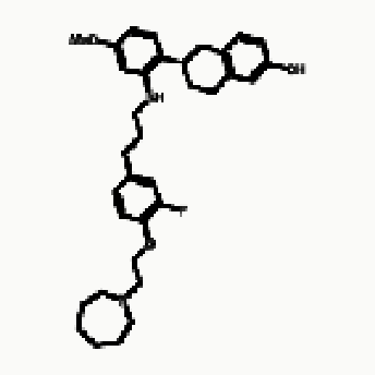 COc1ccc([C@@H]2CCc3cc(O)ccc3C2)c(NCCCc2ccc(OCCN3CCCCCC3)c(F)c2)c1